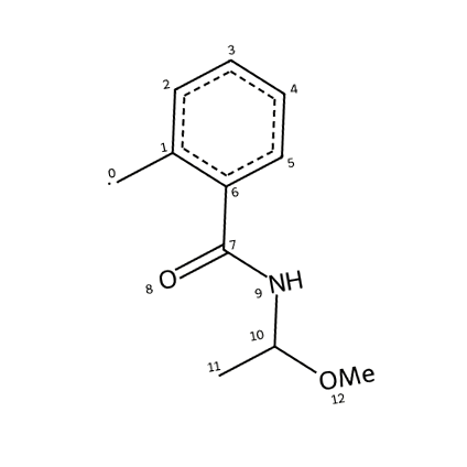 [CH2]c1ccccc1C(=O)NC(C)OC